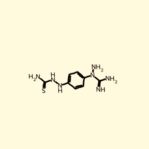 N=C(N)N(N)c1ccc(NNC(N)=S)cc1